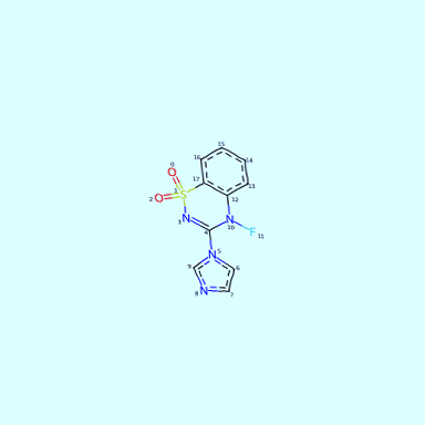 O=S1(=O)N=C(n2ccnc2)N(F)c2ccccc21